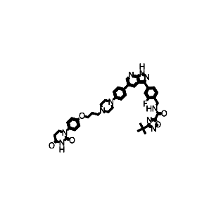 CC(C)(C)c1noc(C(=O)NCc2ccc(-c3n[nH]c4ncc(-c5ccc(N6CCN(CCCOc7ccc(N8CCC(=O)NC8=O)cc7)CC6)cc5)cc34)cc2F)n1